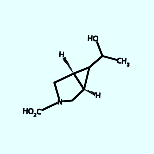 CC(O)C1[C@H]2CN(C(=O)O)C[C@@H]12